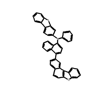 c1ccc(N(c2ccc3c(c2)sc2ccccc23)c2ccc(-c3ccc4ccc5oc6ccccc6c5c4c3)c3ccccc23)cc1